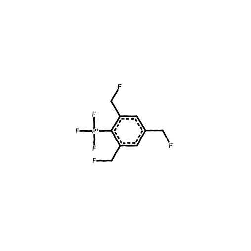 FCc1cc(CF)c([P+](F)(F)F)c(CF)c1